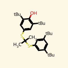 CC(C)(Sc1cc(C(C)(C)C)cc(C(C)(C)C)c1)Sc1cc(C(C)(C)C)c(O)c(C(C)(C)C)c1